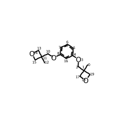 CC1(COc2cccc(OCC3(C)COC3)c2)COC1